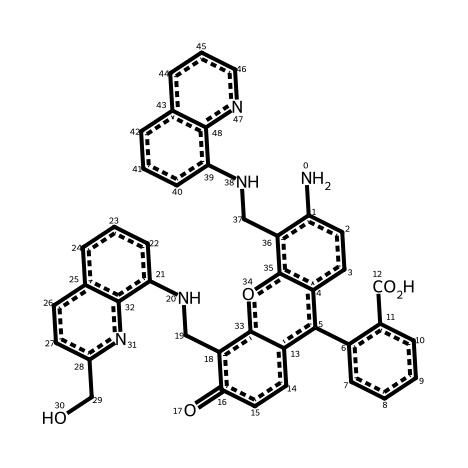 Nc1ccc2c(-c3ccccc3C(=O)O)c3ccc(=O)c(CNc4cccc5ccc(CO)nc45)c-3oc2c1CNc1cccc2cccnc12